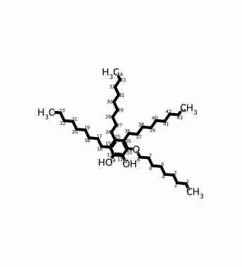 CCCCCCCCCOc1c(O)c(O)c(CCCCCCCCC)c(CCCCCCCCC)c1CCCCCCCCC